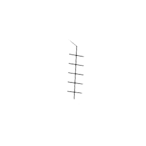 NCC(F)(F)C(F)(F)C(F)(F)C(F)(F)C(F)(F)C(F)(F)F